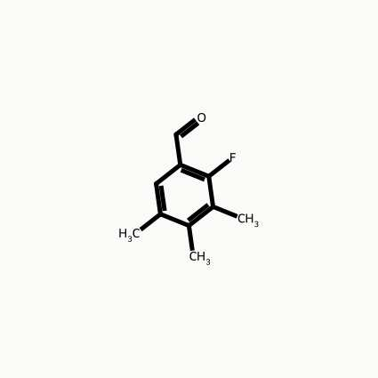 Cc1cc(C=O)c(F)c(C)c1C